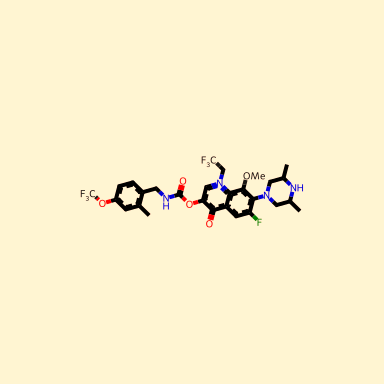 COc1c(N2CC(C)NC(C)C2)c(F)cc2c(=O)c(OC(=O)NCc3ccc(OC(F)(F)F)cc3C)cn(CC(F)(F)F)c12